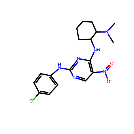 CN(C)C1CCCCC1Nc1nc(Nc2ccc(Cl)cc2)ncc1[N+](=O)[O-]